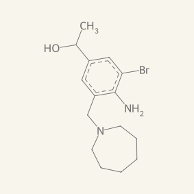 CC(O)c1cc(Br)c(N)c(CN2CCCCCC2)c1